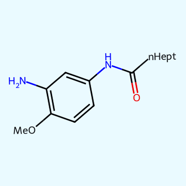 CCCCCCCC(=O)Nc1ccc(OC)c(N)c1